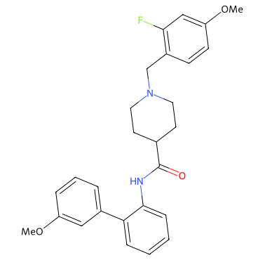 COc1cccc(-c2ccccc2NC(=O)C2CCN(Cc3ccc(OC)cc3F)CC2)c1